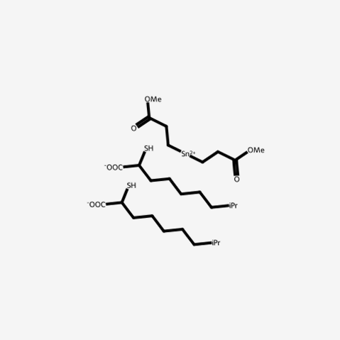 CC(C)CCCCCC(S)C(=O)[O-].CC(C)CCCCCC(S)C(=O)[O-].COC(=O)C[CH2][Sn+2][CH2]CC(=O)OC